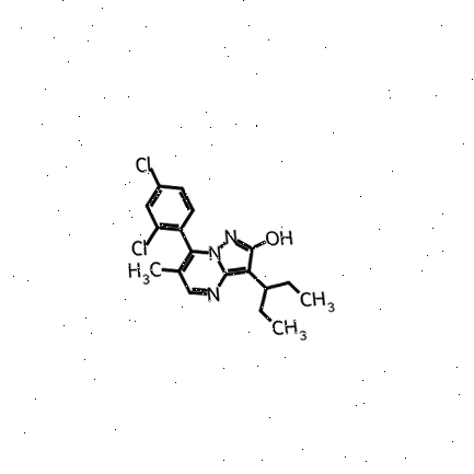 CCC(CC)c1c(O)nn2c(-c3ccc(Cl)cc3Cl)c(C)cnc12